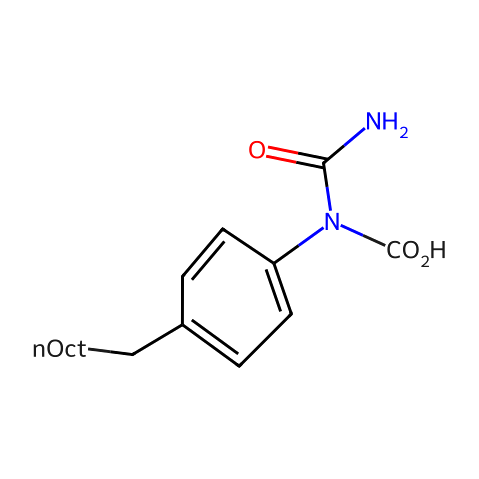 CCCCCCCCCc1ccc(N(C(N)=O)C(=O)O)cc1